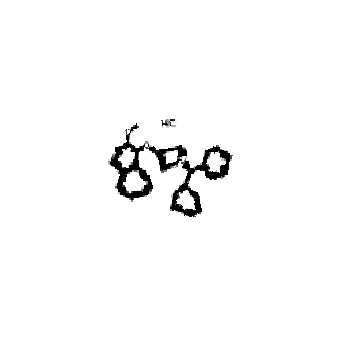 COc1ccc2ccccc2c1OC1CN(C(c2ccccc2)c2ccccc2)C1.Cl